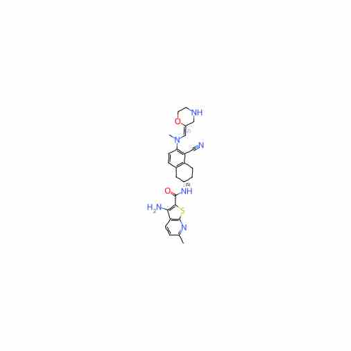 Cc1ccc2c(N)c(C(=O)N[C@H]3CCc4c(ccc(N(C)/C=C5/CNCCO5)c4C#N)C3)sc2n1